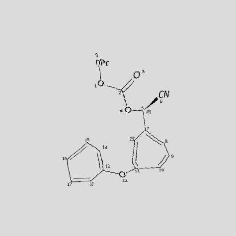 CCCOC(=O)O[C@@H](C#N)c1cccc(Oc2ccccc2)c1